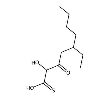 CCCCC(CC)CC(=O)C(O)C(O)=S